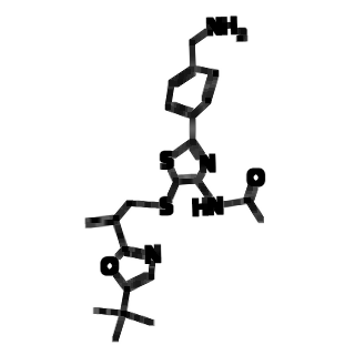 C=C(CSc1sc(-c2ccc(CN)cc2)nc1NC(C)=O)c1ncc(C(C)(C)C)o1